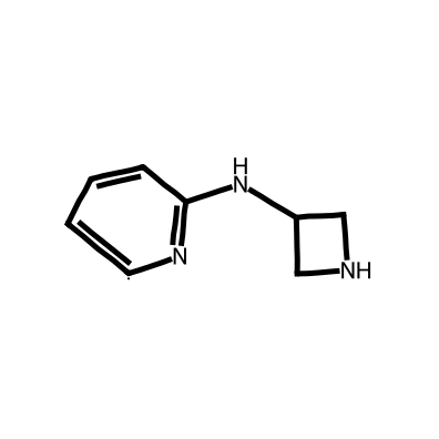 [c]1cccc(NC2CNC2)n1